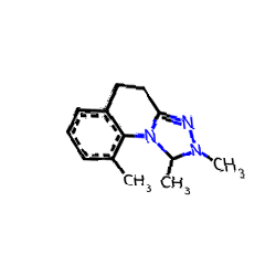 Cc1cccc2c1N1C(=NN(C)C1C)CC2